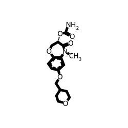 CN1C(=O)[C@@H](OC(N)=O)COc2ccc(OCC3CCOCC3)cc21